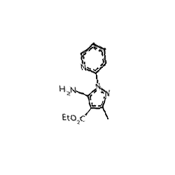 CCOC(=O)c1c(C)nn(-c2ccccn2)c1N